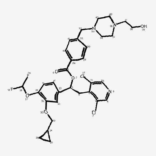 O=C(O[C@@H](Cc1c(Cl)cncc1Cl)c1ccc(OC(F)F)c(OCC2CC2)c1)c1ccc(CN2CCN(CCO)CC2)cc1